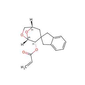 C=CC(=O)O[C@@H]1[C@@H]2OC[C@H](CC13Cc1ccccc1C3)O2